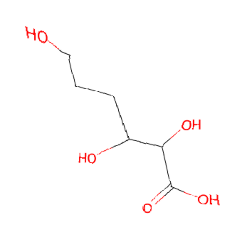 O=C(O)C(O)C(O)CCCO